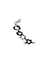 C[C@@H](Nc1cc(N2CCN(C=O)CC2)ccc1C(F)(F)F)c1ccc(Cl)cc1Cl